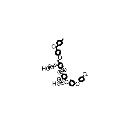 COc1ccc(Oc2ccc(Oc3ccc(S(=O)(=O)c4ccc(COc5ccc(C(=O)c6ccc(C)cc6)cc5)c(SOOO)c4)cc3S(=O)(=O)O)cc2)cc1